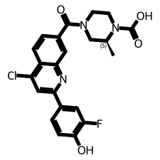 C[C@H]1CN(C(=O)c2ccc3c(Cl)cc(-c4ccc(O)c(F)c4)nc3c2)CCN1C(=O)O